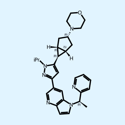 CC(C)n1nc(-c2cnc3ccn([C@H](C)c4ccccn4)c3c2)cc1[C@H]1[C@@H]2C[C@H](N3CCOCC3)C[C@@H]21